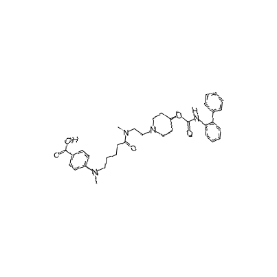 CN(CCN1CCC(OC(=O)Nc2ccccc2-c2ccccc2)CC1)C(=O)CCCCN(C)c1ccc(C(=O)O)cc1